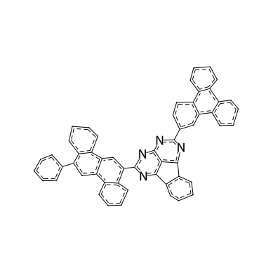 c1ccc(-c2cc3c4ccccc4c(-c4nc5c6c(nc(-c7ccc8c9ccccc9c9ccccc9c8c7)nc6n4)-c4ccccc4-5)cc3c3ccccc23)cc1